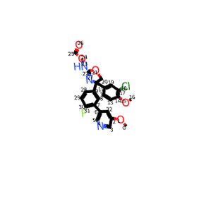 COc1cncc(-c2cc(C3(c4ccc(OC)c(Cl)c4)COC(NOC=O)=N3)ccc2F)c1